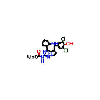 COC(=O)Nc1nc2c3c(ccn3n1)C(c1cc(Cl)c(O)c(Cl)c1)Nc1ccccc1-2